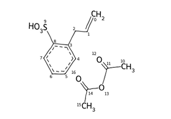 C=CCc1ccccc1S(=O)(=O)O.CC(=O)OC(C)=O